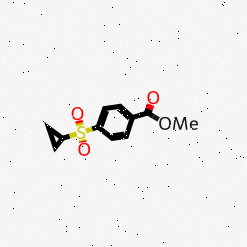 COC(=O)c1ccc(S(=O)(=O)C2CC2)cc1